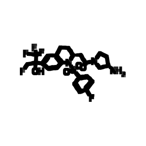 N[C@H]1CCN(C(=O)C[C@@H]2CCc3cc(C(O)(CF)C(F)(F)F)ccc3N2S(=O)(=O)c2ccc(F)cc2)C1